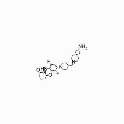 NC1CC2(CCN(CC3CCN(c4cc(F)c(NN5C(=O)CCCC5=O)cc4F)CC3)CC2)C1